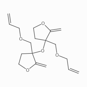 C=CCOCC1(OC2(COCC=C)CCOC2=C)CCOC1=C